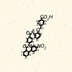 CN(C(=O)c1ccc(NC(=O)c2ccccc2-c2ccc([N+](=O)[O-])cc2)cc1)c1ccccc1OCc1ccc(C(=O)O)cn1